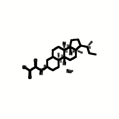 CC[C@@H](C)C1CC[C@H]2[C@@H]3CCC4C[C@H](NC(=O)C(=O)[O-])CC[C@]4(C)[C@H]3CC[C@]12C.[Na+]